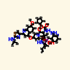 C=C[C@@H]1C[C@]1(NC(=O)[C@@H]1C[C@@H](Oc2cc(-c3csc(NC(C)C)n3)nc3cc(OC)ccc23)CN1C(=O)[C@@H](NC(=O)OC1CCCC1)C(C)(C)C)P(=O)(O)Cc1ccccc1N